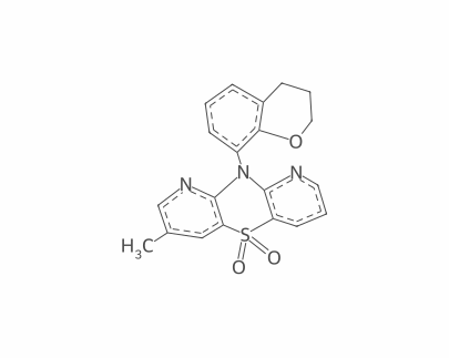 Cc1cnc2c(c1)S(=O)(=O)c1cccnc1N2c1cccc2c1OCCC2